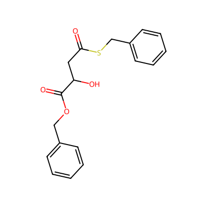 O=C(CC(O)C(=O)OCc1ccccc1)SCc1ccccc1